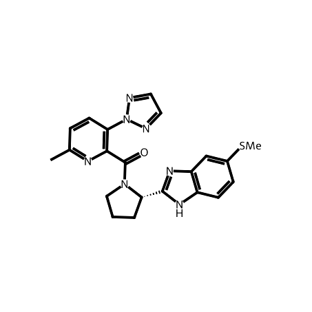 CSc1ccc2[nH]c([C@@H]3CCCN3C(=O)c3nc(C)ccc3-n3nccn3)nc2c1